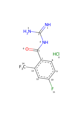 Cl.N=C(N)NC(=O)c1ccc(F)cc1C(F)(F)F